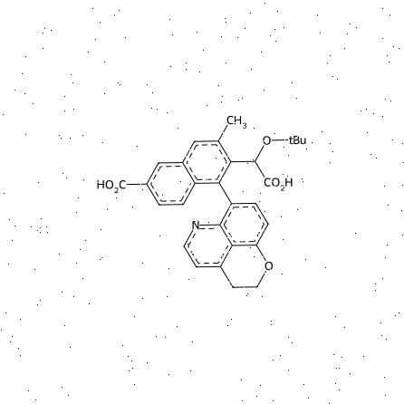 Cc1cc2cc(C(=O)O)ccc2c(-c2ccc3c4c(ccnc24)CCO3)c1C(OC(C)(C)C)C(=O)O